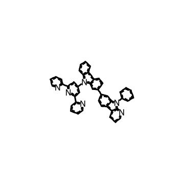 c1ccc(-n2c3cc(-c4ccc5c6ccccc6n(-c6cc(-c7ccccn7)nc(-c7ccccn7)c6)c5c4)ccc3c3cccnc32)cc1